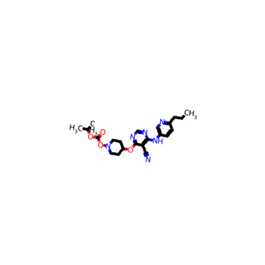 CCCc1ccc(Nc2ncnc(OC3CCN(OC(=O)OC(C)C)CC3)c2C#N)cn1